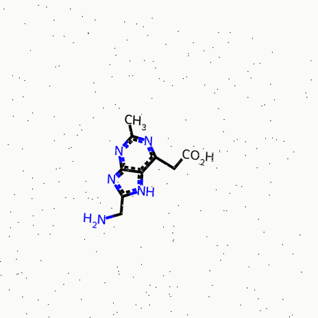 Cc1nc(CC(=O)O)c2[nH]c(CN)nc2n1